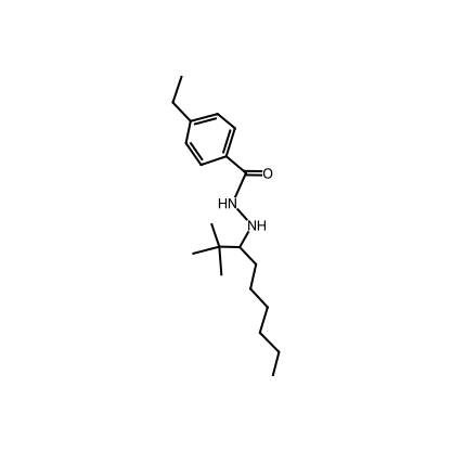 CCCCCCC(NNC(=O)c1ccc(CC)cc1)C(C)(C)C